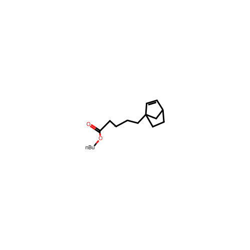 CCCCOC(=O)C[CH]CCC12C=CC(CC1)C2